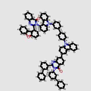 O=c1c2ccc(-c3ccc4c(c3)c3ccccc3n4-c3ccc(-c4cccc(-n5c6ccccc6c6c(-n7c(-c8cccc9oc%10ccccc%10c89)nc8ccccc8c7=O)cccc65)c4)cc3)cc2nc(-c2cccc(-c3ccccc3)c2)n1-c1cccc(-c2ccccc2)c1